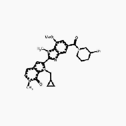 COc1cc(C(=O)N2CCCC(C(C)C)C2)cc2nc(-c3cc4ccn(C)c(=O)c4n3CC3CC3)n(C)c12